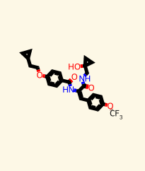 O=C(NCC1(O)CC1)/C(=C\c1ccc(OC(F)(F)F)cc1)NC(=O)c1ccc(OCCC2CC2)cc1